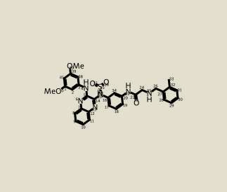 COc1cc(Nc2nc3ccccc3nc2N(c2cccc(NC(=O)CNCc3ccccc3C)c2)[SH](=O)=O)cc(OC)c1